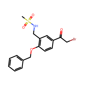 CS(=O)(=O)NCc1cc(C(=O)CBr)ccc1OCc1ccccc1